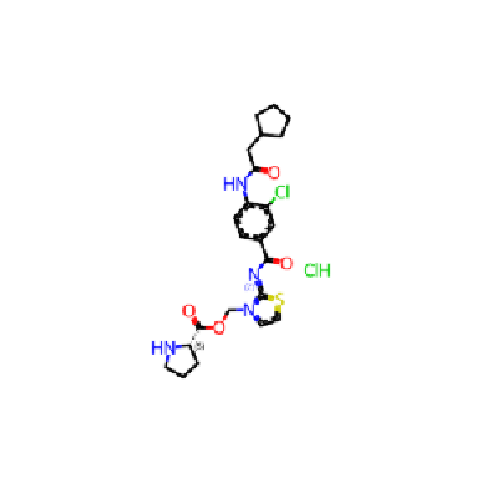 Cl.O=C(CC1CCCC1)Nc1ccc(C(=O)/N=c2\sccn2COC(=O)[C@@H]2CCCN2)cc1Cl